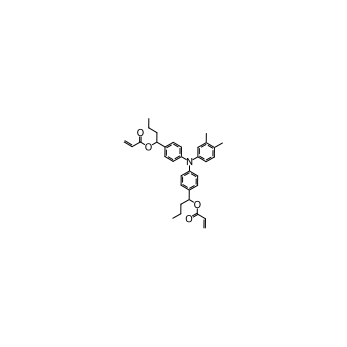 C=CC(=O)OC(CCC)c1ccc(N(c2ccc(C(CCC)OC(=O)C=C)cc2)c2ccc(C)c(C)c2)cc1